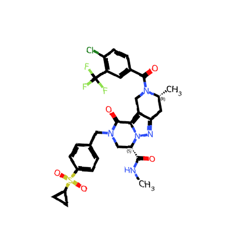 CNC(=O)[C@@H]1CN(Cc2ccc(S(=O)(=O)C3CC3)cc2)C(=O)c2c3c(nn21)C[C@@H](C)N(C(=O)c1ccc(Cl)c(C(F)(F)F)c1)C3